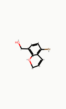 OCc1ccc(Br)c2c1OCC=C2